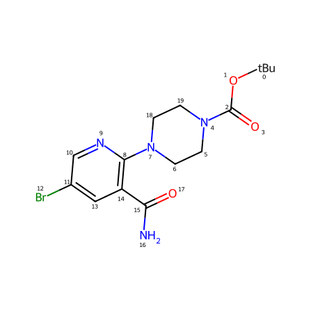 CC(C)(C)OC(=O)N1CCN(c2ncc(Br)cc2C(N)=O)CC1